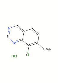 COc1ccc2cncnc2c1Cl.Cl